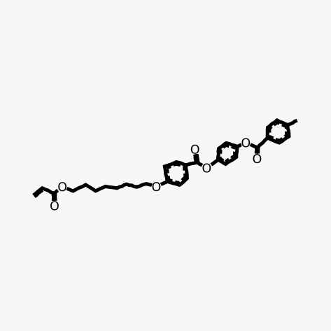 C=CC(=O)OCCCCCCCCOc1ccc(C(=O)Oc2ccc(OC(=O)c3ccc(C)cc3)cc2)cc1